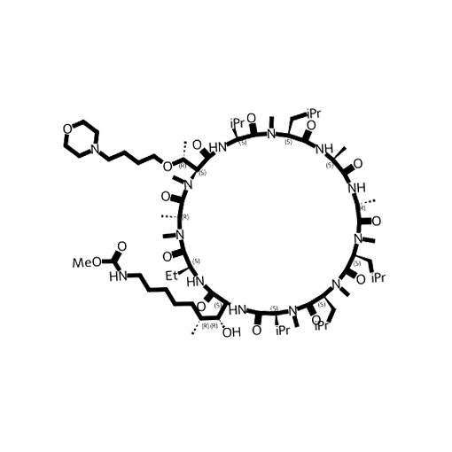 CC[C@@H]1NC(=O)[C@H]([C@H](O)[C@H](C)CCCCCNC(=O)OC)NC(=O)[C@H](C(C)C)N(C)C(=O)[C@H](CC(C)C)N(C)C(=O)[C@H](CC(C)C)N(C)C(=O)[C@@H](C)NC(=O)[C@H](C)NC(=O)[C@H](CC(C)C)N(C)C(=O)[C@H](C(C)C)NC(=O)[C@H]([C@@H](C)OCCCCN2CCOCC2)N(C)C(=O)[C@@H](C)N(C)C1=O